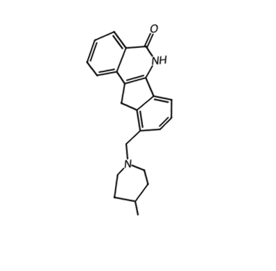 CC1CCN(Cc2cccc3c2Cc2c-3[nH]c(=O)c3ccccc23)CC1